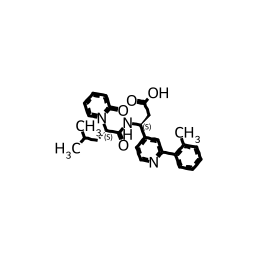 Cc1ccccc1-c1cc([C@H](CC(=O)O)NC(=O)[C@H](CC(C)C)n2ccccc2=O)ccn1